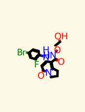 O=C(NOCCO)c1c(Nc2ccc(Br)cc2F)cc(=O)n2c1CCC2